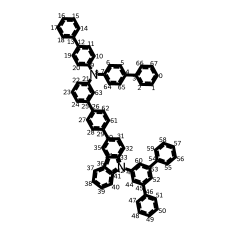 c1ccc(-c2ccc(N(c3ccc(-c4ccccc4)cc3)c3cccc(-c4ccc(-c5ccc6c(c5)c5ccccc5n6-c5cc(-c6ccccc6)cc(-c6ccccc6)c5)cc4)c3)cc2)cc1